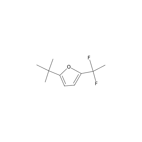 CC(C)(C)c1ccc(C(C)(F)F)o1